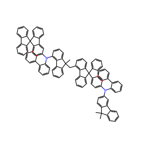 CC1(C)c2ccccc2-c2cc(N(c3ccc4c(c3)-c3ccccc3C43c4ccccc4-c4c(CC5(C)c6ccccc6-c6c(N(c7ccc8c(c7)-c7ccccc7C87c8ccccc8-c8ccccc87)c7ccccc7-c7ccccc7)cccc65)cccc43)c3ccccc3-c3ccccc3)ccc21